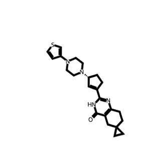 O=c1[nH]c(C2=C[C@H](N3CCN(c4ccsc4)CC3)CC2)nc2c1CC1(CC2)CC1